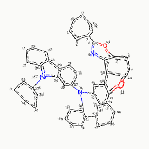 c1ccc(-c2nc3c(ccc4oc5ccc(N(c6ccc7c8ccccc8n(-c8ccccc8)c7c6)c6ccccc6-c6ccccc6)cc5c43)o2)cc1